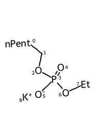 CCCCCCOP(=O)([O-])OCC.[K+]